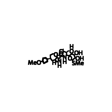 COc1ccc([C@H]2CCO[C@@H]3[C@H](CN[C@@H]3C(=O)N[C@@H](C3OC(SC)C(O)C(O)C3O)[C@H](C)Cl)C2)cc1